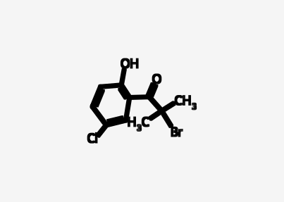 CC(C)(Br)C(=O)c1cc(Cl)ccc1O